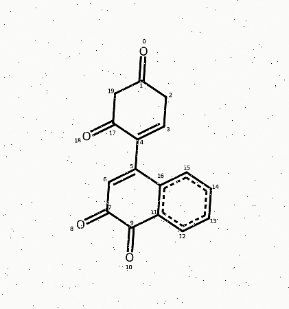 O=C1CC=C(C2=CC(=O)C(=O)c3ccccc32)C(=O)C1